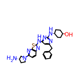 N[C@H]1CCN(c2ccc3nc(Nc4cc(Cc5ccccc5)nc(N[C@H]5CC[C@H](O)CC5)n4)sc3n2)C1